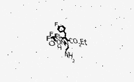 CCOC(=O)c1c(Cc2ccc(F)cc2)c(CC)nn1CCN.O=C(O)C(F)(F)F